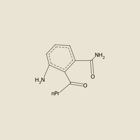 CCCC(=O)c1c(N)cccc1C(N)=O